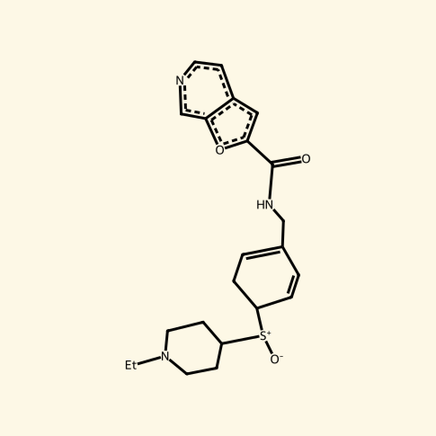 CCN1CCC([S+]([O-])C2C=CC(CNC(=O)c3cc4ccncc4o3)=CC2)CC1